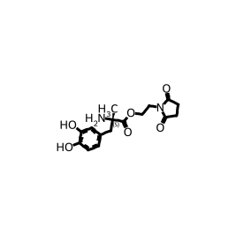 C[C@](N)(Cc1ccc(O)c(O)c1)C(=O)OCCN1C(=O)CCC1=O